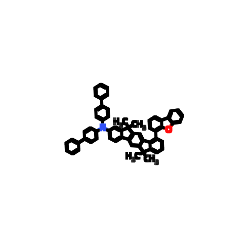 CC1(C)c2cc(N(c3ccc(-c4ccccc4)cc3)c3ccc(-c4ccccc4)cc3)ccc2-c2cc3c(cc21)-c1c(-c2cccc4c2oc2ccccc24)cccc1C3(C)C